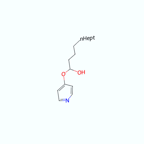 CCCCCCCCCCC(O)Oc1ccncc1